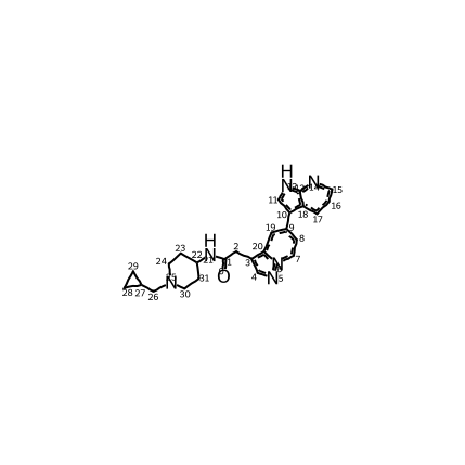 O=C(Cc1cnn2ccc(-c3c[nH]c4ncccc34)cc12)NC1CCN(CC2CC2)CC1